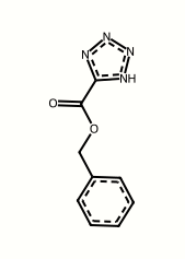 O=C(OCc1ccccc1)c1nnn[nH]1